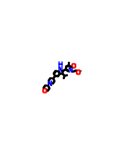 COCCn1cc(-c2[nH]c3ccc(C4CCN(C5CCOCC5)CC4)cc3c2C(C)C)cc(C)c1=O